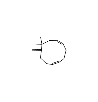 C=C1CCC=CCCC=CCC1(C)C